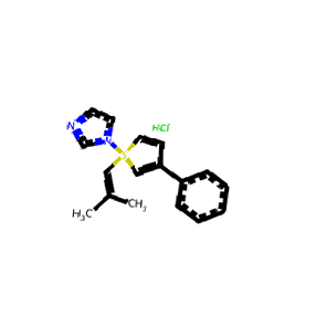 CC(C)=CS1(n2ccnc2)C=CC(c2ccccc2)=C1.Cl